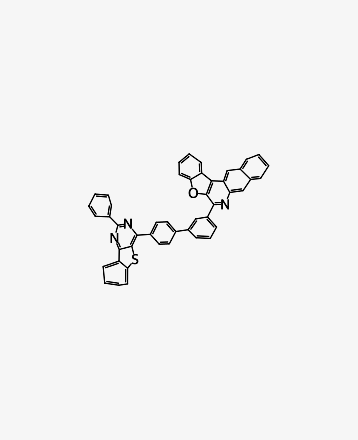 c1ccc(-c2nc(-c3ccc(-c4cccc(-c5nc6cc7ccccc7cc6c6c5oc5ccccc56)c4)cc3)c3sc4ccccc4c3n2)cc1